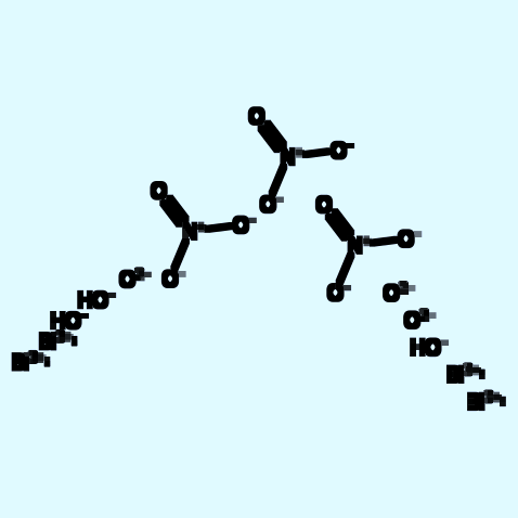 O=[N+]([O-])[O-].O=[N+]([O-])[O-].O=[N+]([O-])[O-].[Bi+3].[Bi+3].[Bi+3].[Bi+3].[O-2].[O-2].[O-2].[OH-].[OH-].[OH-]